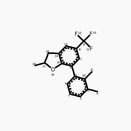 Cc1cccc(-c2cc(C(F)(F)F)cc3c2OC(C)C3)c1C